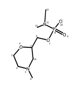 CN1CCOC(COP(=O)(Cl)N(C)C)C1